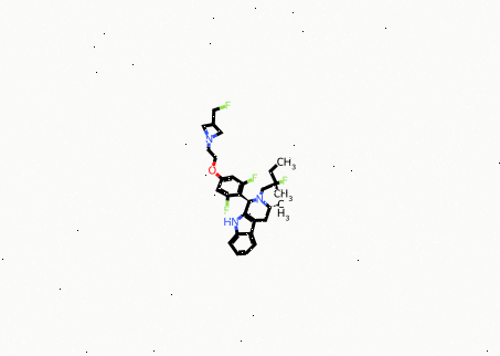 CC[C@](C)(F)CN1[C@H](c2c(F)cc(OCCN3CC(CF)C3)cc2F)c2[nH]c3ccccc3c2C[C@H]1C